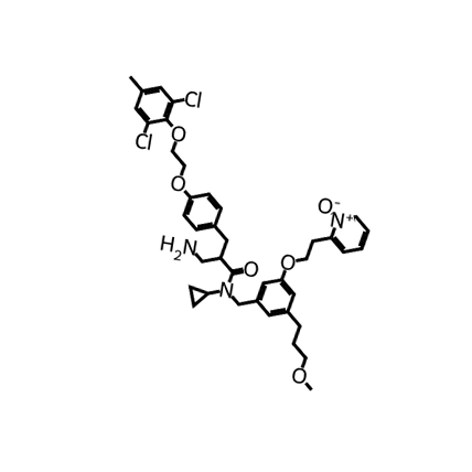 COCCCc1cc(CN(C(=O)C(CN)Cc2ccc(OCCOc3c(Cl)cc(C)cc3Cl)cc2)C2CC2)cc(OCCc2cccc[n+]2[O-])c1